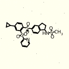 CS(=O)(=O)NC1CCc2cc(S(=O)(=O)c3ccc(C4CC4)cc3S(=O)(=O)c3ccccn3)ccc21